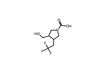 O=C(O)N1CC(CO)C(CC(F)(F)F)C1